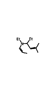 C/C=C\N(CC)C(C=C(C)C)CC